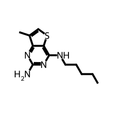 CCCCCNc1nc(N)nc2c(C)csc12